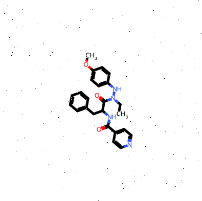 CCN(Nc1ccc(OC)cc1)C(=O)C(Cc1ccccc1)NC(=O)c1ccncc1